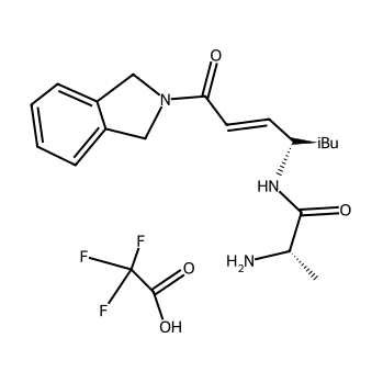 CC[C@H](C)[C@@H](/C=C/C(=O)N1Cc2ccccc2C1)NC(=O)[C@H](C)N.O=C(O)C(F)(F)F